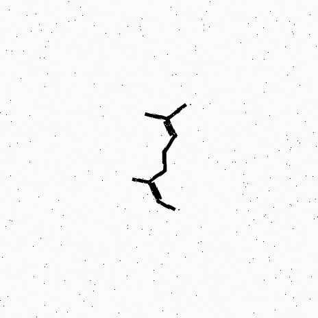 [CH2]C=C(C)CCC=C([CH2])C